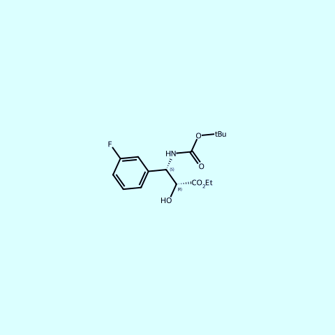 CCOC(=O)[C@H](O)[C@@H](NC(=O)OC(C)(C)C)c1cccc(F)c1